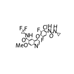 COc1cc2nccc(Oc3c(F)cc(NC(=O)NC4CC4)c(Cl)c3F)c2cc1C(=O)NC1CC1(F)F